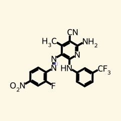 Cc1c(C#N)c(N)nc(Nc2cccc(C(F)(F)F)c2)c1/N=N/c1ccc([N+](=O)[O-])cc1F